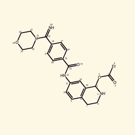 CCC(=O)OC1NCCc2ccc(NC(=O)c3ccc(C(=N)N4CCOCC4)cc3)cc21